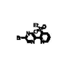 CCS(=O)(=O)c1cccnc1-c1cnc(Br)cn1